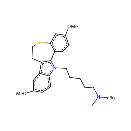 CCCCN(C)CCCCCn1c2c(c3cc(OC)ccc31)CCSc1cc(OC)ccc1-2